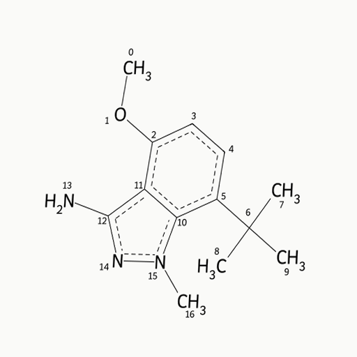 COc1ccc(C(C)(C)C)c2c1c(N)nn2C